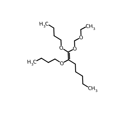 CCCCCC(OCCCC)=C(OCCCC)OCOCC